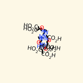 O=C(O)CC[C@H](NC(=O)N[C@@H](CCC(=O)NC(CN(Cc1nccn1CC(=O)C(CC(=O)O)CC(=O)O)Cc1nccn1CC(=O)N(CC(=O)O)CC(=O)O)C(=O)O)C(=O)O)C(=O)O